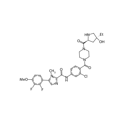 CC[C@@]1(O)CN[C@H](C(=O)N2CCN(C(=O)c3ccc(NC(=O)c4ncc(-c5ccc(OC)c(F)c5F)n4C)cc3Cl)CC2)C1